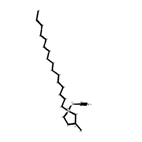 CCCCCCCCCCCCCCCC[N+]1(SC#N)CCC(C)C1